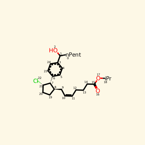 CCCCCC(O)c1ccc([C@@H]2[C@@H](C/C=C\CCCC(=O)OC(C)C)CC[C@@H]2Cl)cc1